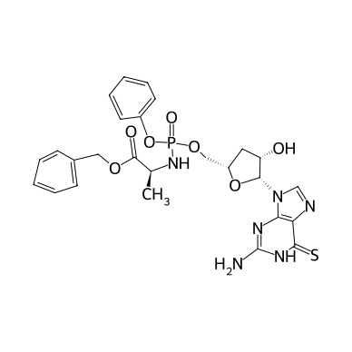 C[C@H](NP(=O)(OC[C@@H]1C[C@H](O)[C@H](n2cnc3c(=S)[nH]c(N)nc32)O1)Oc1ccccc1)C(=O)OCc1ccccc1